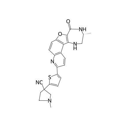 C[C@@H]1CNc2c(oc3ccc4nc(-c5ccc(C6(C#N)CCN(C)C6)s5)ccc4c23)C(=O)N1